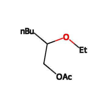 CCCCC(COC(C)=O)OCC